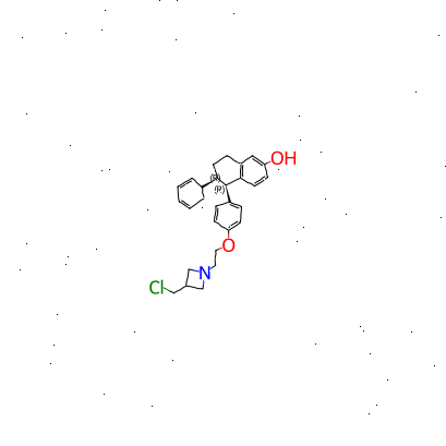 Oc1ccc2c(c1)CC[C@H](C1C=CC=CC1)[C@@H]2c1ccc(OCCN2CC(CCl)C2)cc1